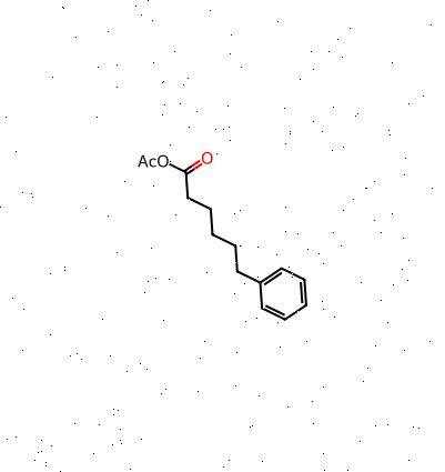 CC(=O)OC(=O)CCC[CH]Cc1ccccc1